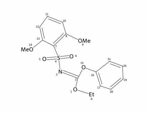 CCOC(=NS(=O)(=O)c1c(OC)cccc1OC)Oc1ccccc1